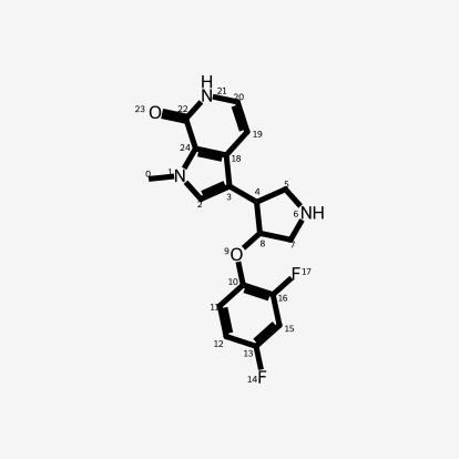 Cn1cc(C2CNCC2Oc2ccc(F)cc2F)c2cc[nH]c(=O)c21